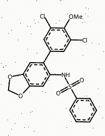 COc1c(Cl)cc(-c2cc3c(cc2NS(=O)(=O)c2ccccc2)OCO3)cc1Cl